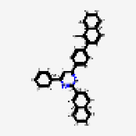 Cc1c(-c2ccc(-c3cc(-c4ccccc4)nc(-c4ccc5ccccc5c4)n3)cc2)ccc2ccccc12